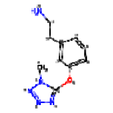 Cn1nnnc1Oc1cccc(CCN)c1